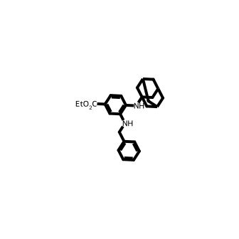 CCOC(=O)c1ccc(NC23CC4CC(CC(C4)C2)C3)c(NCc2ccccc2)c1